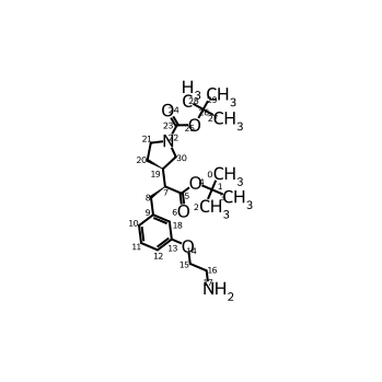 CC(C)(C)OC(=O)[C@@H](Cc1cccc(OCCN)c1)[C@H]1CCN(C(=O)OC(C)(C)C)C1